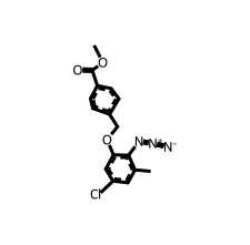 COC(=O)c1ccc(COc2cc(Cl)cc(C)c2N=[N+]=[N-])cc1